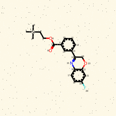 C[Si](C)(C)CCOC(=O)c1cccc(C2=Nc3ccc(F)cc3OC2)c1